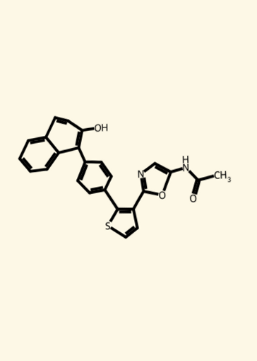 CC(=O)Nc1cnc(-c2ccsc2-c2ccc(-c3c(O)ccc4ccccc34)cc2)o1